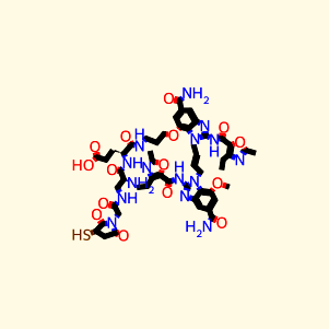 CCc1nc(C)oc1C(=O)Nc1nc2cc(C(N)=O)cc(OC)c2n1C/C=C/Cn1c(NC(=O)c2oc(C)nc2CC)nc2cc(C(N)=O)cc(OCCCNC(=O)[C@@H](CCC(=O)O)NC(=O)[C@H](N)CNC(=O)CN3C(=O)CC(S)C3=O)c21